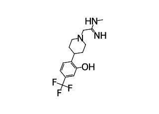 CNC(=N)CN1CCC(c2ccc(C(F)(F)F)cc2O)CC1